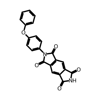 O=c1[nH]c(=O)c2cc3c(=O)n(-c4ccc(Oc5ccccc5)cc4)c(=O)c3cc12